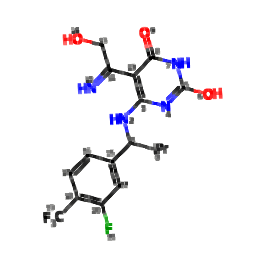 CC(C)C(Nc1nc(O)[nH]c(=O)c1C(=N)CO)c1ccc(C(F)(F)F)c(F)c1